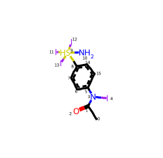 CC(=O)N(I)c1ccc([SH](N)(I)(I)I)cc1